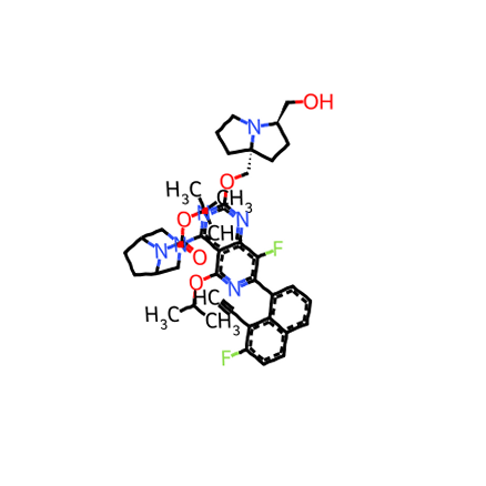 C#Cc1c(F)ccc2cccc(-c3nc(OC(C)C)c4c(N5CC6CCC(C5)N6C(=O)OC(C)(C)C)nc(OC[C@]56CCCN5[C@@H](CO)CC6)nc4c3F)c12